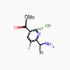 COC(=O)c1cnc(C(N)C(C)C)c(F)c1.Cl.Cl